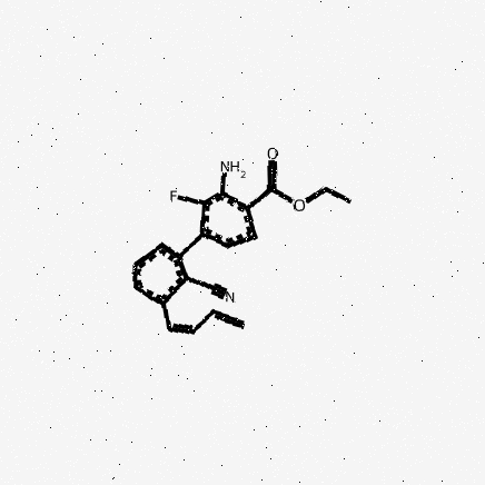 C=C/C=C\c1cccc(-c2ccc(C(=O)OCC)c(N)c2F)c1C#N